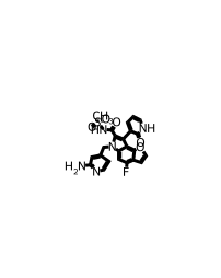 CS(=O)(=O)NC(=O)c1c(-c2ccc[nH]c2=O)c2c3occc3c(F)cc2n1Cc1ccnc(N)c1